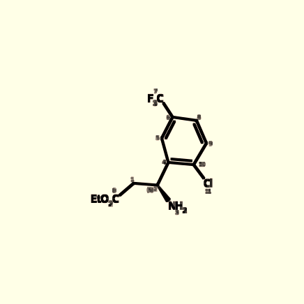 CCOC(=O)C[C@H](N)c1cc(C(F)(F)F)ccc1Cl